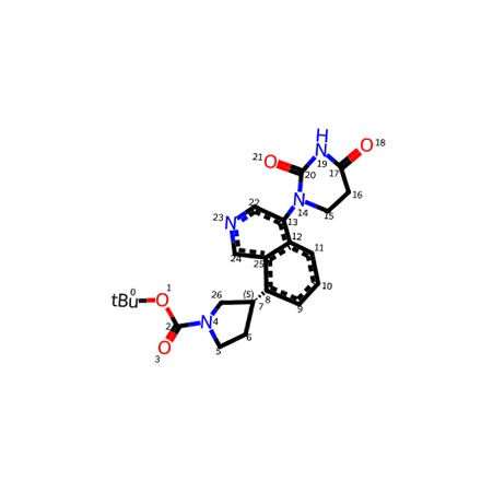 CC(C)(C)OC(=O)N1CC[C@@H](c2cccc3c(N4CCC(=O)NC4=O)cncc23)C1